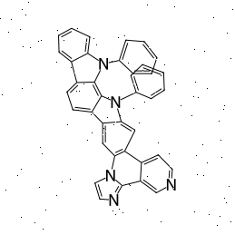 c1ccc(-n2c3ccccc3c3ccc4c5cc6c(cc5n(-c5ccccc5)c4c32)c2ccncc2c2nccn62)cc1